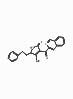 O=C1NC(CCc2ccccc2)C(O)=C1C(=O)c1cc2ccccc2cn1